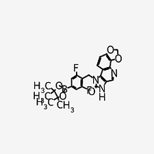 CC1(C)OB(c2cc(F)c(Cn3c(=O)[nH]c4cnc5c6c(ccc5c43)OCO6)c(F)c2)OC1(C)C